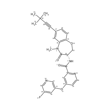 CN1C(=O)[C@@H](NC(=O)c2cc(Oc3cncc(F)c3)ccn2)COc2ccc(C#CC(C)(C)C)cc21